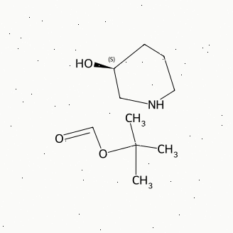 CC(C)(C)OC=O.O[C@H]1CCCNC1